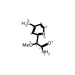 COC(C(N)=O)c1cc(C)ccn1